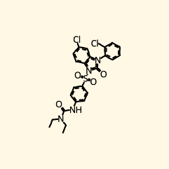 CCN(CC)C(=O)Nc1ccc(S(=O)(=O)n2c(=O)n(-c3ccccc3Cl)c3cc(Cl)ccc32)cc1